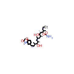 CC/C=C\C(C)[C@H](OC(N)=O)[C@@H](C)[C@H](O)[C@@H](C)C/C(C)=C\[C@H](C)[C@@H](O)C(C)/C=C\c1ccc2c(c1)N(C)C(=O)CO2